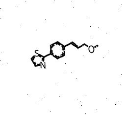 COCC=Cc1ccc(-c2nccs2)cc1